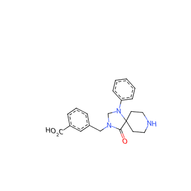 O=C(O)c1cccc(CN2CN(c3ccccc3)C3(CCNCC3)C2=O)c1